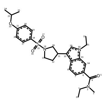 CCN(C)C(=O)c1ccc2c(C3CCN(S(=O)(=O)c4ccc(OC(C)C)cc4)C3)cn(CC)c2c1